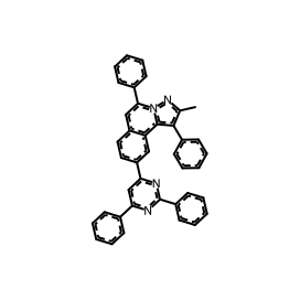 Cc1nn2c(-c3ccccc3)cc3ccc(-c4cc(-c5ccccc5)nc(-c5ccccc5)n4)cc3c2c1-c1ccccc1